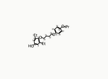 CCc1cc(O)cc(CC)c1OCCCCOc1ccc(OC(C)C)cc1